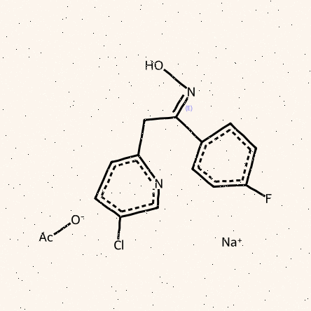 CC(=O)[O-].O/N=C(\Cc1ccc(Cl)cn1)c1ccc(F)cc1.[Na+]